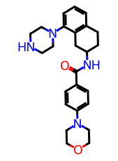 O=C(NC1CCc2cccc(N3CCNCC3)c2C1)c1ccc(N2CCOCC2)cc1